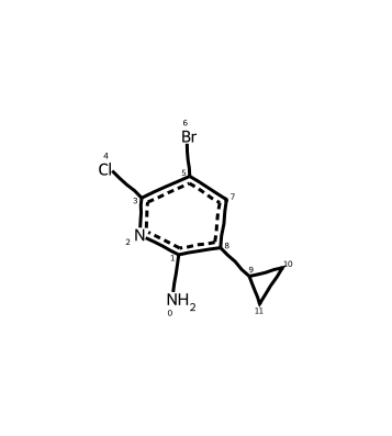 Nc1nc(Cl)c(Br)cc1C1CC1